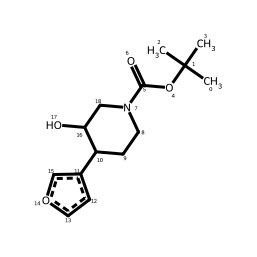 CC(C)(C)OC(=O)N1CCC(c2ccoc2)C(O)C1